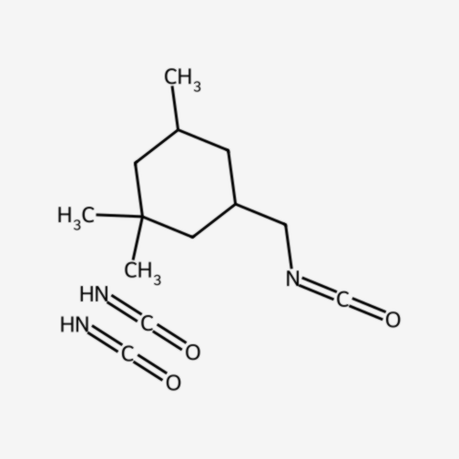 CC1CC(CN=C=O)CC(C)(C)C1.N=C=O.N=C=O